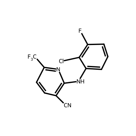 N#Cc1ccc(C(F)(F)F)nc1Nc1cccc(F)c1Cl